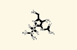 CC(=O)Nc1c(C)c(CO)nn1S(=O)(=O)N(C)C